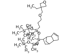 CCC1(COCCC[Si](C)(O[Si](C)(O[SiH](C)O[Si](C)(C)C)C2CC3CC2C2C=CCC32)O[Si](C)(C)[Si](C)(C)C)COC1